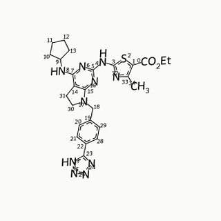 CCOC(=O)c1sc(Nc2nc(NC3CCCC3)c3c(n2)N(Cc2ccc(-c4nnn[nH]4)cc2)CC3)nc1C